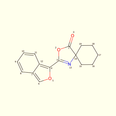 O=C1OC(c2occ3ccccc23)=NC12CCCCC2